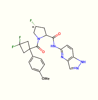 COc1ccc(C2(C(=O)N3C[C@H](F)CC3C(=O)Nc3ccc4[nH]ncc4n3)CC(F)(F)C2)cc1